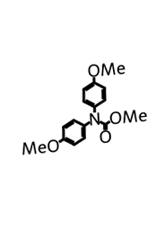 COC(=O)N(c1ccc(OC)cc1)c1ccc(OC)cc1